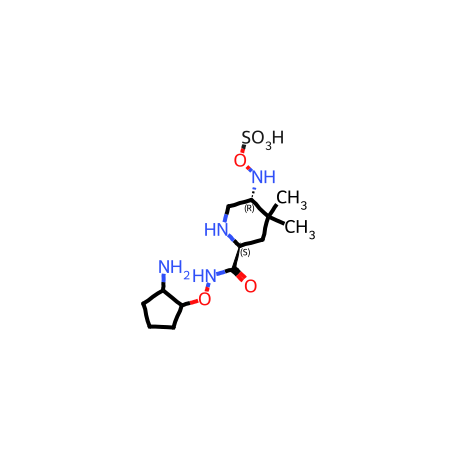 CC1(C)C[C@@H](C(=O)NOC2CCCC2N)NC[C@@H]1NOS(=O)(=O)O